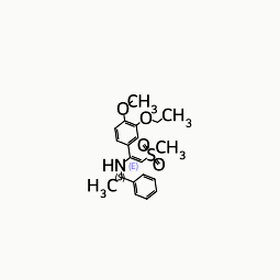 CCOc1cc(/C(=C\S(C)(=O)=O)N[C@@H](C)c2ccccc2)ccc1OC